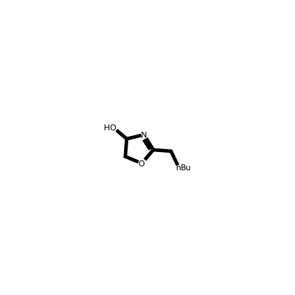 CCCCCC1=NC(O)CO1